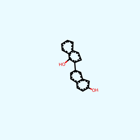 Oc1ccc2ccc(-c3ccc4ccccc4c3O)cc2c1